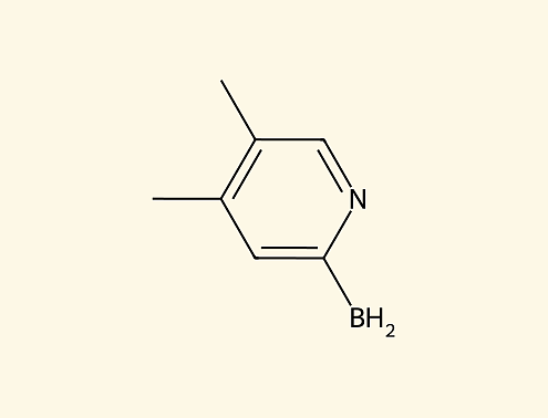 Bc1cc(C)c(C)cn1